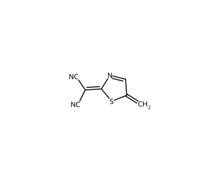 C=c1cnc(=C(C#N)C#N)s1